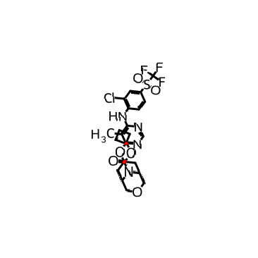 Cc1c(Nc2ccc(S(=O)(=O)C(F)(F)F)cc2Cl)ncnc1OC1CC2COCC(C1)N2C(=O)OC1CCC1